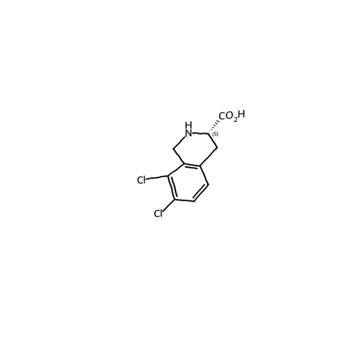 O=C(O)[C@@H]1Cc2ccc(Cl)c(Cl)c2CN1